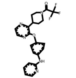 O=C(N1CCC(c2nccnc2Oc2ccc(Nc3ccccn3)cc2)CC1)C(F)(F)F